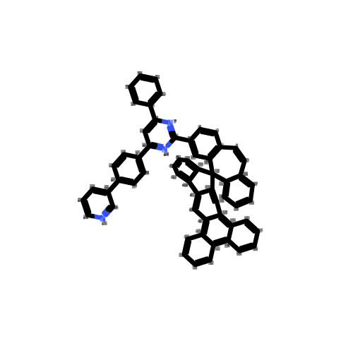 C1=Cc2ccc(-c3nc(-c4ccccc4)cc(-c4ccc(-c5cccnc5)cc4)n3)cc2C2(c3ccccc31)c1ccccc1-c1cc3c4ccccc4c4ccccc4c3cc12